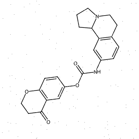 O=C(Nc1ccc2c(c1)C1CCCN1CC2)Oc1ccc2c(c1)C(=O)CCO2